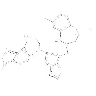 CCOC(=O)CC(c1cc(CN2C[C@@H](CC)Oc3ncc(Cl)cc3S2(=O)=O)c2sccc2c1)c1cnc2c(nnn2C)c1C